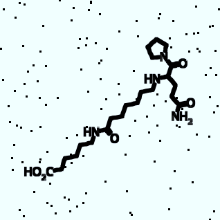 NC(=O)CCC(NCCCCCCC(=O)NCCCCCC(=O)O)C(=O)N1CCCC1